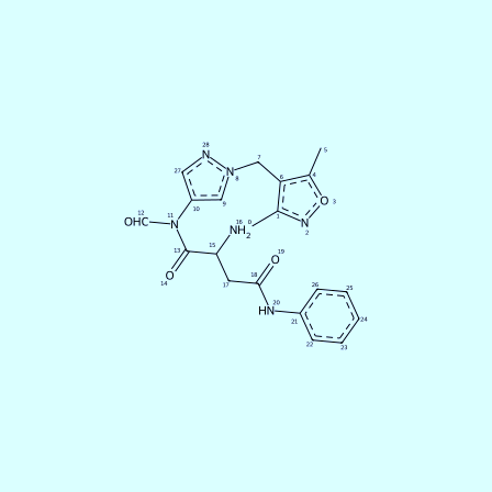 Cc1noc(C)c1Cn1cc(N(C=O)C(=O)C(N)CC(=O)Nc2ccccc2)cn1